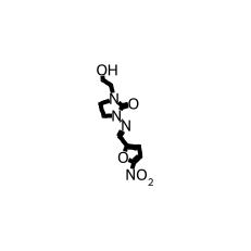 O=C1N(CCO)CCN1N=Cc1ccc([N+](=O)[O-])o1